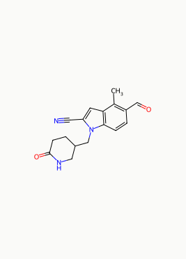 Cc1c(C=O)ccc2c1cc(C#N)n2CC1CCC(=O)NC1